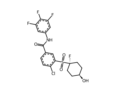 O=C(Nc1cc(F)c(F)c(F)c1)c1ccc(Cl)c(S(=O)(=O)[C@]2(F)CC[C@H](O)CC2)c1